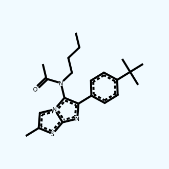 CCCCN(C(C)=O)c1c(-c2ccc(C(C)(C)C)cc2)nc2sc(C)cn12